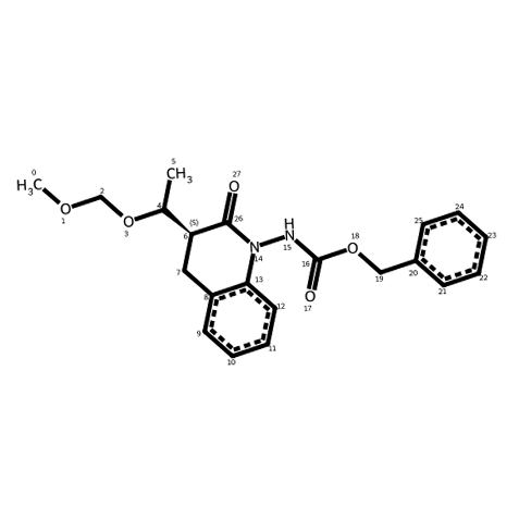 COCOC(C)[C@@H]1Cc2ccccc2N(NC(=O)OCc2ccccc2)C1=O